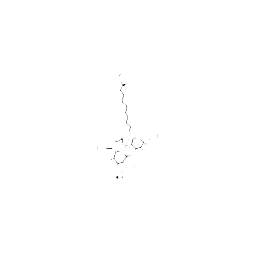 COC(=O)CCCCCCCCO[C@@H]1O[C@H](CO)[C@@H](O)[C@H](O[C@@H]2O[C@H](CO)[C@H](O)[C@H](OS(=O)(=O)O)[C@H]2O)[C@H]1NC(C)=O